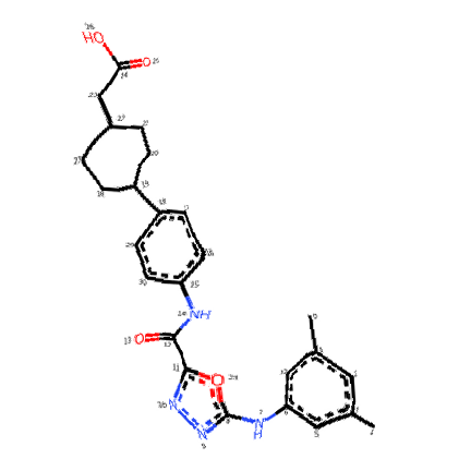 Cc1cc(C)cc(Nc2nnc(C(=O)Nc3ccc(C4CCC(CC(=O)O)CC4)cc3)o2)c1